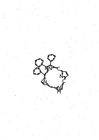 C1=Cc2cc3[nH]c(c(-c4ccccc4)c4nc(cc5ccc(cc1n2)[nH]5)C=C4)c(-c1ccccc1)c3-c1ccccc1